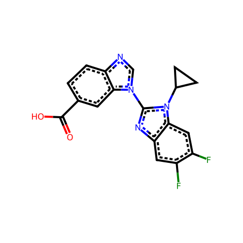 O=C(O)c1ccc2ncn(-c3nc4cc(F)c(F)cc4n3C3CC3)c2c1